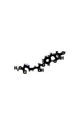 C=C(Cl)/C=C\C=C/C[C@@H](O)COc1ccc(CC2SC(=O)NC2=O)cc1